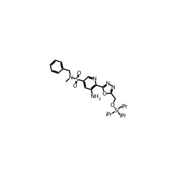 CC(C)[Si](OCc1nnc(-c2ncc(S(=O)(=O)N(C)Cc3ccccc3)cc2N)o1)(C(C)C)C(C)C